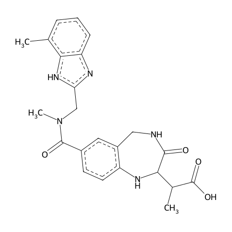 Cc1cccc2nc(CN(C)C(=O)c3ccc4c(c3)CNC(=O)C(C(C)C(=O)O)N4)[nH]c12